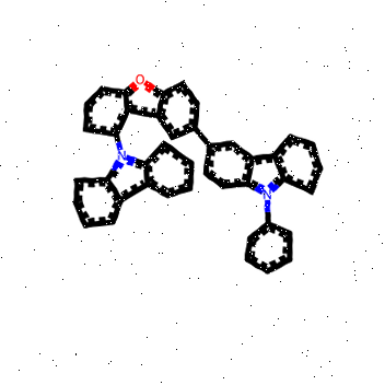 c1ccc(-n2c3ccccc3c3cc(-c4ccc5oc6cccc(-n7c8ccccc8c8ccccc87)c6c5c4)ccc32)cc1